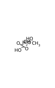 CO.O.O=S(=O)(O)O